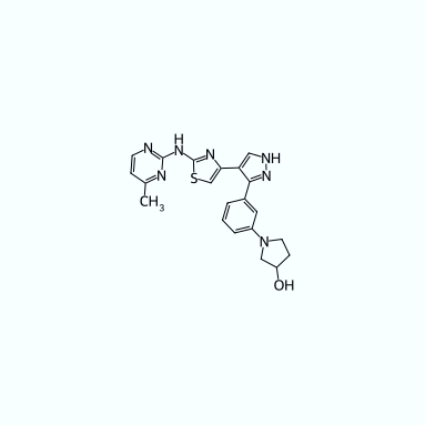 Cc1ccnc(Nc2nc(-c3c[nH]nc3-c3cccc(N4CCC(O)C4)c3)cs2)n1